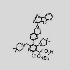 CC1(C)CCN(Cc2nc(Cl)c([C@H](OC(C)(C)C)C(=O)O)c(N3CCC(C)(C)CC3)c2-c2ccc3c(c2)CCN(c2ncnc4c2oc2ccccc24)C3)CC1